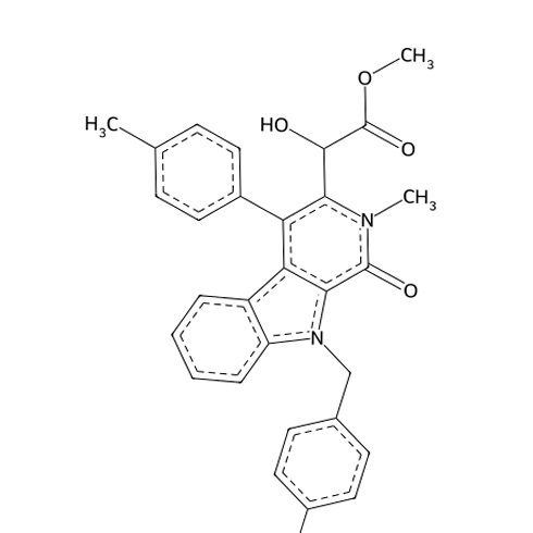 COC(=O)C(O)c1c(-c2ccc(C)cc2)c2c3ccccc3n(Cc3ccc(F)cc3)c2c(=O)n1C